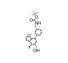 CC(C)(C)OC(=O)NCc1cccc(-c2cc(CO)c(F)c3ccoc23)c1